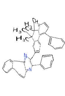 CC1(C)c2cc(-c3nc4c(ccc5ccccc54)nc3-c3ccccc3)ccc2-c2c(-c3ccccc3)cccc2C1(C)C